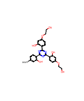 COc1ccc(-c2nc(-c3ccc(OCCO)cc3O)nc(-c3ccc(OCCO)cc3O)n2)c(O)c1